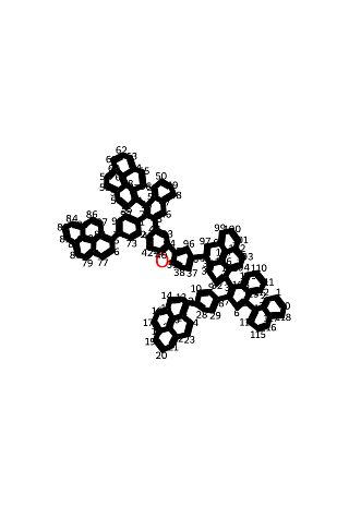 c1ccc2c(-c3cc(-c4ccc(-c5ccc6ccc7cccc8ccc5c6c78)cc4)c(-c4ccc5c(-c6ccc7oc8ccc(-c9cc%10ccccc%10c(-c%10ccc%11ccc%12cccc%13ccc%10c%11c%12%13)c9-c9ccc(-c%10ccc%11ccc%12cccc%13ccc%10c%11c%12%13)cc9)cc8c7c6)cc6cccc7ccc4c5c76)c4ccccc34)cccc2c1